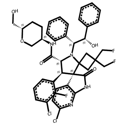 O=C(N[C@@H]1CC[C@@H](CO)OC1)[C@H]1[C@H](c2cccc(Cl)c2F)[C@]2(C(=O)Nc3nc(Cl)ccc32)C2(CC(CF)(CF)C2)N1[C@H](c1ccccc1)[C@@H](O)c1ccccc1